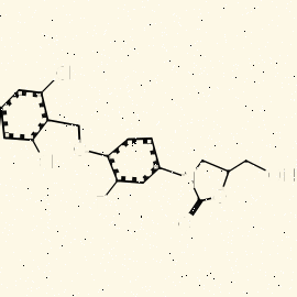 O=C1OC(CO)CN1c1ccc(OCc2c(Cl)cccc2Cl)c(F)c1